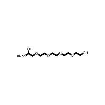 CCCCCCCCCC(O)COCCOCCOCCOCCO